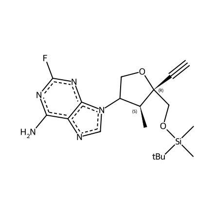 C#C[C@]1(CO[Si](C)(C)C(C)(C)C)OCC(n2cnc3c(N)nc(F)nc32)[C@@H]1C